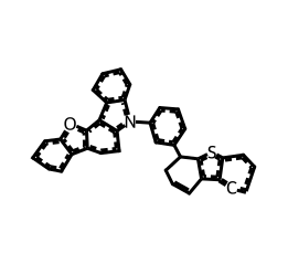 C1=Cc2c(sc3ccccc23)C(c2cccc(-n3c4ccccc4c4c5oc6ccccc6c5ccc43)c2)C1